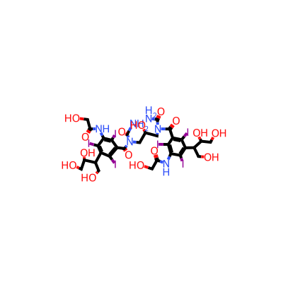 NC(=O)N(CC(O)CN(C(N)=O)C(=O)c1c(I)c(NC(=O)CO)c(I)c(C(CO)C(O)CO)c1I)C(=O)c1c(I)c(NC(=O)CO)c(I)c(C(CO)C(O)CO)c1I